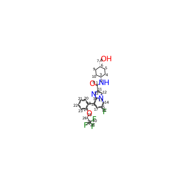 O=C(N[C@H]1CC[C@@H](CO)CC1)c1cn2cc(F)cc(-c3ccccc3OCC(F)(F)F)c2n1